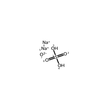 O=S(=O)(O)O.[Na+].[Na+].[O-2]